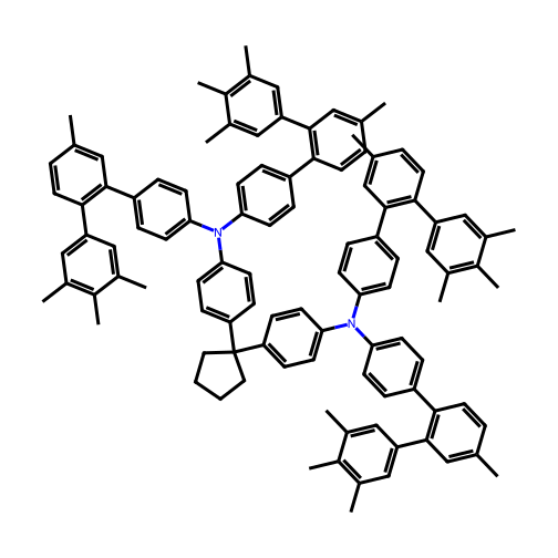 Cc1ccc(-c2cc(C)c(C)c(C)c2)c(-c2ccc(N(c3ccc(-c4ccc(C)cc4-c4cc(C)c(C)c(C)c4)cc3)c3ccc(C4(c5ccc(N(c6ccc(-c7ccc(C)cc7-c7cc(C)c(C)c(C)c7)cc6)c6ccc(-c7cc(C)ccc7-c7cc(C)c(C)c(C)c7)cc6)cc5)CCCC4)cc3)cc2)c1